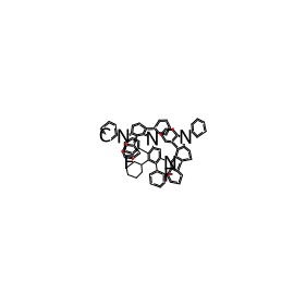 Fc1ccccc1-c1c(-n2c3ccccc3c3ccc4c(c5ccccc5n4-c4ccccc4)c32)cc(-n2c3ccccc3c3ccc4c(c5ccccc5n4-c4ccccc4)c32)c(-c2ccccc2F)c1C1CCCCC1